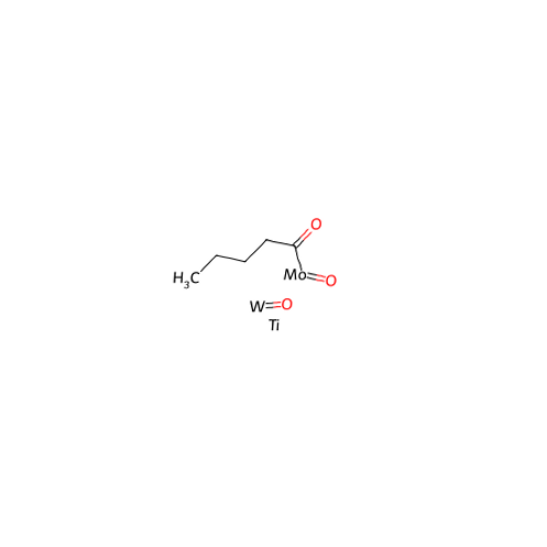 CCCC[C](=O)[Mo]=[O].[O]=[W].[Ti]